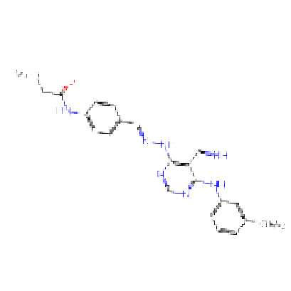 COCC(=O)Nc1ccc(/C=N/Nc2ncnc(Nc3cccc(OC)c3)c2C=N)cc1